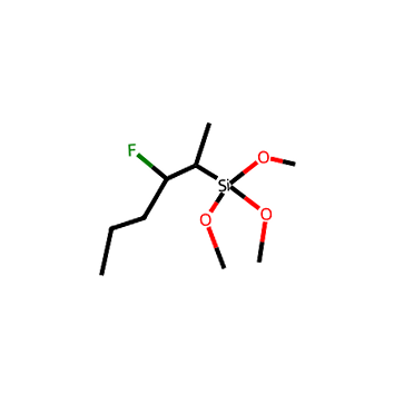 CCCC(F)C(C)[Si](OC)(OC)OC